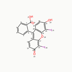 O=C(O)c1ccccc1-c1c2ccc(=O)c(I)c-2oc2c(I)c(O)ccc12